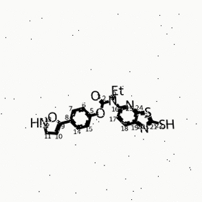 CCN(C(=O)Oc1ccc(C2=CCNO2)cc1)c1ccc2nc(S)sc2n1